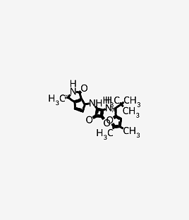 Cc1cc([C@H](Nc2c(NC3C=CC4=C3C(=O)N[C@H]4C)c(=O)c2=O)C(C)(C)C)oc1C